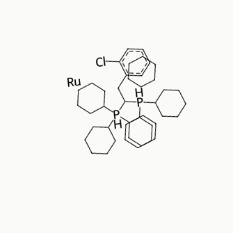 Clc1ccccc1CC([PH](C1CCCCC1)(C1CCCCC1)C1CCCCC1)[PH](C1CCCCC1)(C1CCCCC1)C1CCCCC1.[Ru]